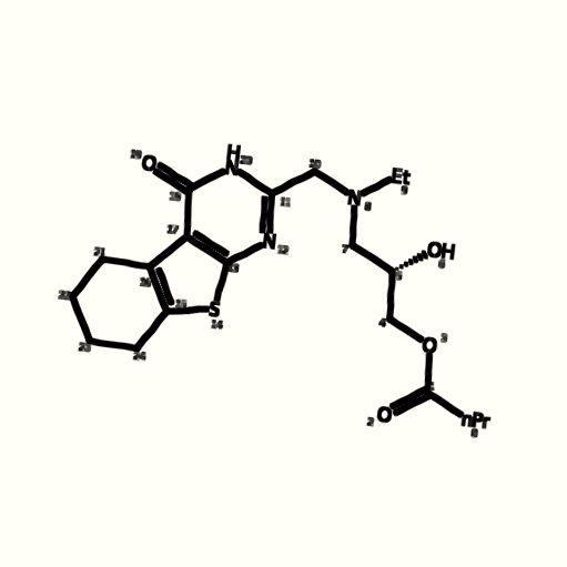 CCCC(=O)OC[C@@H](O)CN(CC)Cc1nc2sc3c(c2c(=O)[nH]1)CCCC3